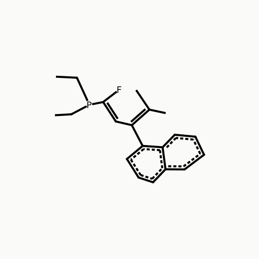 CCP(CC)/C(F)=C/C(=C(C)C)c1cccc2ccccc12